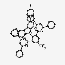 Cc1ccc(-c2ccc3c(c2)c2ccccc2n3-c2c(-c3nc(-c4ccccc4)cc(-c4ccccc4)n3)cc(C(F)(F)F)cc2-c2nc(-c3ccccc3)cc(-c3ccccc3)n2)cc1